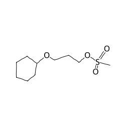 CS(=O)(=O)OCCCOC1CCCCC1